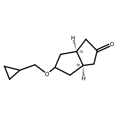 O=C1C[C@@H]2CC(OCC3CC3)C[C@@H]2C1